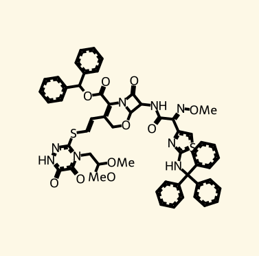 CON=C(C(=O)NC1C(=O)N2C(C(=O)OC(c3ccccc3)c3ccccc3)=C(C=CSc3n[nH]c(=O)c(=O)n3CC(OC)OC)COC12)c1csc(NC(c2ccccc2)(c2ccccc2)c2ccccc2)n1